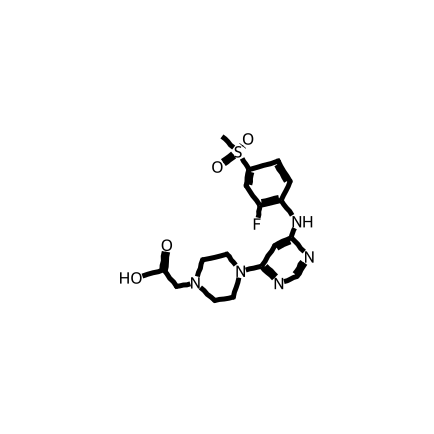 CS(=O)(=O)c1ccc(Nc2cc(N3CCN(CC(=O)O)CC3)ncn2)c(F)c1